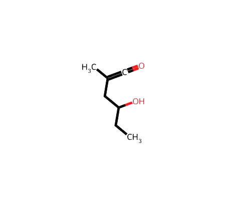 CCC(O)CC(C)=C=O